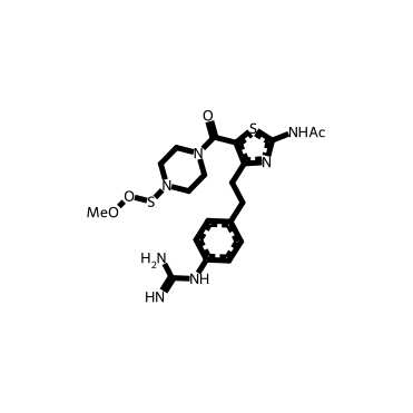 COOSN1CCN(C(=O)c2sc(NC(C)=O)nc2CCc2ccc(NC(=N)N)cc2)CC1